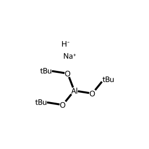 CC(C)(C)[O][Al]([O]C(C)(C)C)[O]C(C)(C)C.[H-].[Na+]